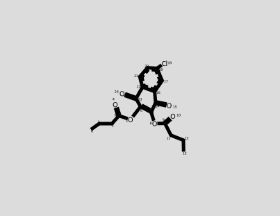 CCCC(=O)OC1=C(OC(=O)CCC)C(=O)c2cc(Cl)ccc2C1=O